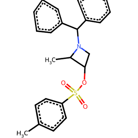 Cc1ccc(S(=O)(=O)OC2CN(C(c3ccccc3)c3ccccc3)C2C)cc1